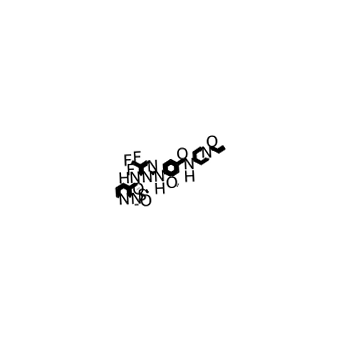 C=CC(=O)N1CCC(NC(=O)c2ccc(Nc3ncc(C(F)(F)F)c(NCc4cccnc4N(C)S(C)(=O)=O)n3)c(OC)c2)CC1